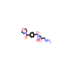 NCC(O)CNC(=O)c1ccc(C(=O)N2CCOCC2)cc1